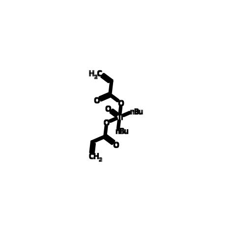 C=CC(=O)[O][Ti](=[O])([CH2]CCC)([CH2]CCC)[O]C(=O)C=C